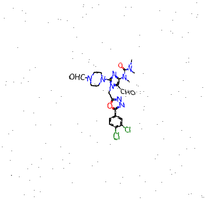 CN(C)C(=O)N(C)c1nc(N2CCN(C=O)CC2)n(Cc2nnc(-c3ccc(Cl)c(Cl)c3)o2)c1C=O